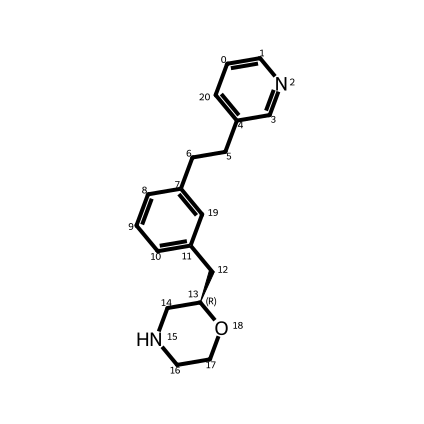 c1cncc(CCc2cccc(C[C@@H]3CNCCO3)c2)c1